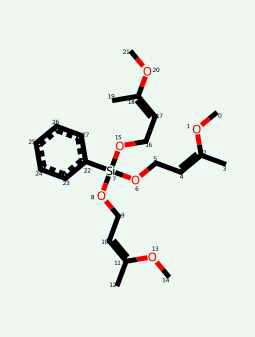 COC(C)=CCO[Si](OCC=C(C)OC)(OCC=C(C)OC)c1ccccc1